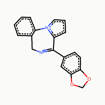 c1ccc2c(c1)CN=C(c1ccc3c(c1)OCO3)c1cccn1-2